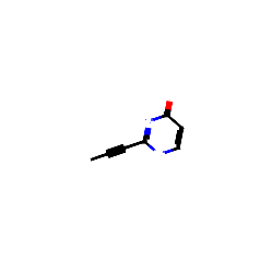 CCCC#Cc1nc(=O)cc[nH]1